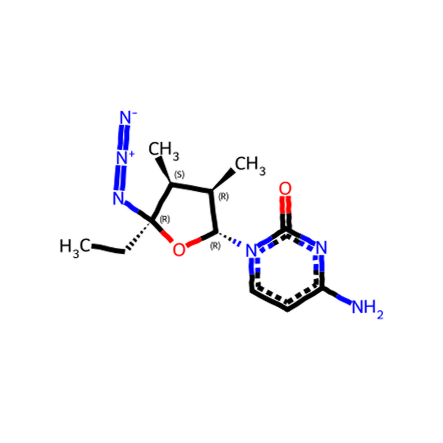 CC[C@@]1(N=[N+]=[N-])O[C@@H](n2ccc(N)nc2=O)[C@H](C)[C@@H]1C